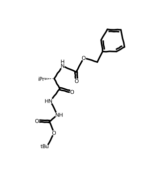 CC(C)[C@H](NC(=O)OCc1ccccc1)C(=O)NNC(=O)OC(C)(C)C